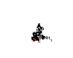 Cc1nc(N2CC3CC3C2=O)ncc1C(CO[Si](c1ccccc1)(c1ccccc1)C(C)(C)C)n1cc(N)cn1